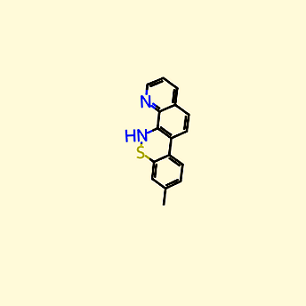 Cc1ccc2c(c1)SNc1c-2ccc2cccnc12